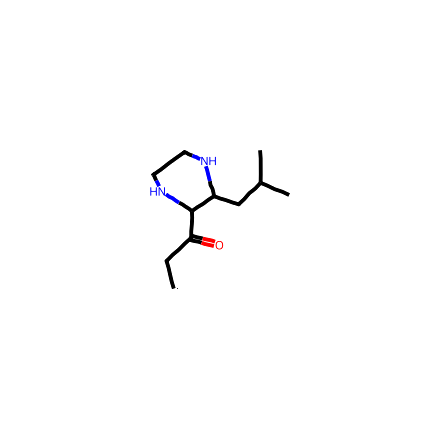 [CH2]CC(=O)C1NCCNC1CC(C)C